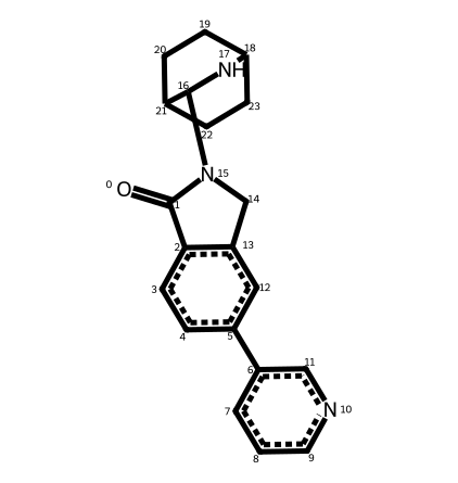 O=C1c2ccc(-c3cccnc3)cc2CN1C1NC2CCC1CC2